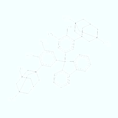 CC12CC3CC(C)(C1)CC(c1cc(C4(c5cc(N)c(O)c(C67CC8CC(C)(CC(C)(C8)C6)C7)c5)c5ccccc5-c5ccccc54)cc(N)c1O)(C3)C2